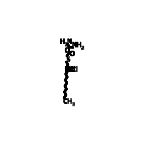 CCCCCCCCCCCCCCSCC(=O)OC(CN)CN.Cl.Cl